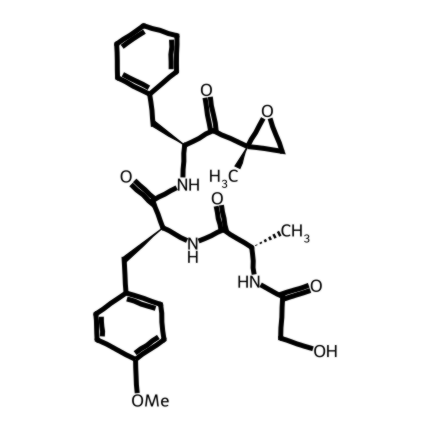 COc1ccc(C[C@H](NC(=O)[C@H](C)NC(=O)CO)C(=O)N[C@@H](Cc2ccccc2)C(=O)[C@@]2(C)CO2)cc1